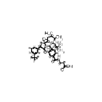 CC(C)C(C)CCC1(C)N=C(c2cccc(C(F)(F)F)c2)C(=O)N1[C@H](CCC(C)(C)C)c1ccc(C(=O)NCCC(=O)O)cc1